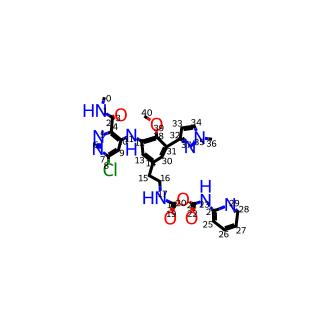 CNC(=O)c1nnc(Cl)cc1Nc1cc(CCNC(=O)OC(=O)Nc2ccccn2)cc(-c2ccn(C)n2)c1OC